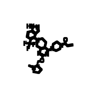 C=CC(=O)N1CCN(c2nc(OC[C@@H]3CCCN3C)nc3c2CCN(c2c(C(F)(F)F)ccc4[nH]ncc24)C3)CC1